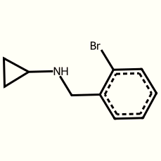 Brc1ccccc1CNC1CC1